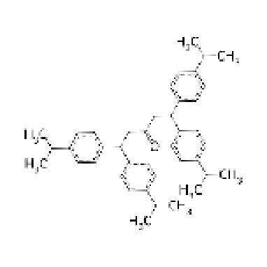 CC(C)c1ccc(C(CC(=O)CC(c2ccc(C(C)C)cc2)c2ccc(C(C)C)cc2)c2ccc(C(C)C)cc2)cc1